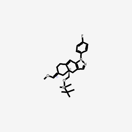 CO/C=C1\CCC2=Cc3c(cnn3-c3ccc(F)cc3)C[C@]2(CO[Si](C)(C)C(C)(C)C)C1